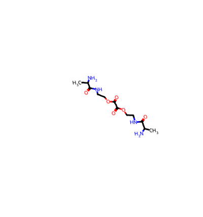 CC(N)C(=O)NCCOC(=O)C(=O)OCCNC(=O)C(C)N